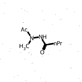 CCCC(=O)NN(C)C(C)=O